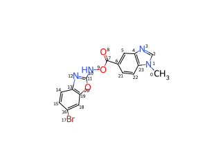 Cn1cnc2cc(C(=O)ONc3nc4ccc(Br)cc4o3)ccc21